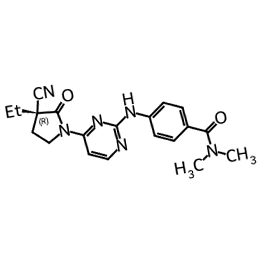 CC[C@]1(C#N)CCN(c2ccnc(Nc3ccc(C(=O)N(C)C)cc3)n2)C1=O